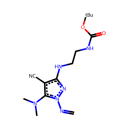 C=Nn1nc(NCCNC(=O)OC(C)(C)C)c(C#N)c1N(C)C